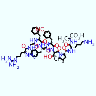 C[C@H](NC(=O)[C@H](CCCCN)NC(=O)[C@@H]1CCCN1C(=O)[C@@H](NC(=O)[C@H](Cc1ccc(O)cc1)NC(=O)[C@H](Cc1ccccc1)NC(=O)[C@H](Cc1ccccc1)NC(=O)CNC(=O)[C@@H](N)CCCN=C(N)N)[C@@H](C)O)C(=O)O